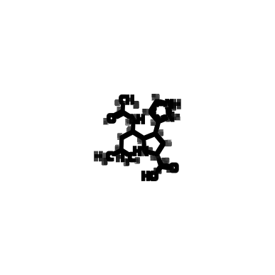 CC(=O)NC(CC(C)C)C1N[C@H](C(=O)O)CC1c1cc[nH]n1